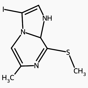 CSC1=NC(C)=CN2C(I)=CNC12